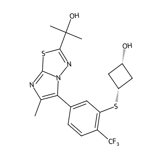 Cc1nc2sc(C(C)(C)O)nn2c1-c1ccc(C(F)(F)F)c(S[C@H]2C[C@@H](O)C2)c1